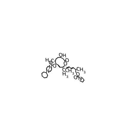 C/C(=C\C=C\[C@@H](C)COC(=O)N1CCCC1)[C@H]1OC(=O)C[C@H](O)CC[C@H](C)[C@@H](OC(=O)N2CCN(C3CCCCCC3)CC2)/C=C/[C@@H]1C